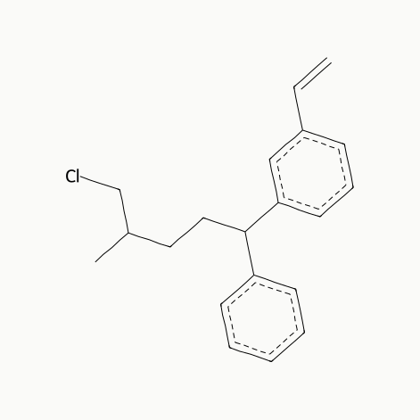 C=Cc1cccc(C(CCC(C)CCl)c2ccccc2)c1